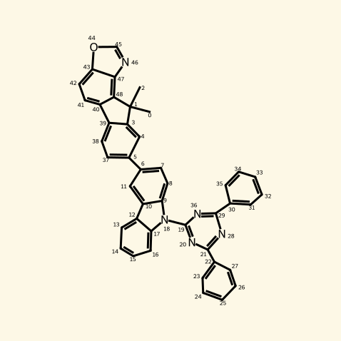 CC1(C)c2cc(-c3ccc4c(c3)c3ccccc3n4-c3nc(-c4ccccc4)nc(-c4ccccc4)n3)ccc2-c2ccc3ocnc3c21